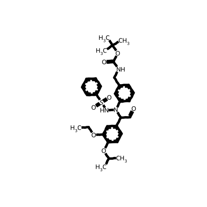 CCOc1cc(C(C=O)N(NS(=O)(=O)c2ccccc2)c2cccc(CNC(=O)OC(C)(C)C)c2)ccc1OC(C)C